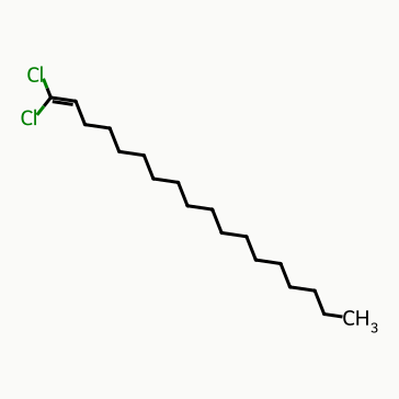 CCCCCCCCCCCCCCCCC=C(Cl)Cl